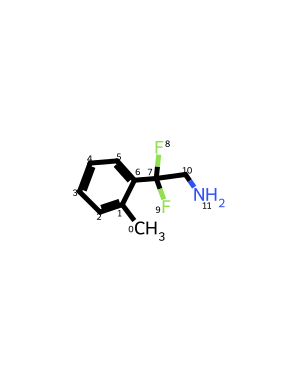 Cc1ccccc1C(F)(F)CN